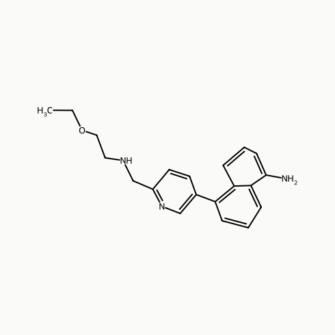 CCOCCNCc1ccc(-c2cccc3c(N)cccc23)cn1